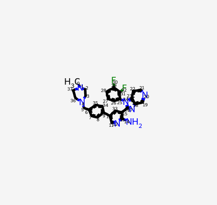 CN1CCN(Cc2ccc(-c3cnc(N)c(-c4nc5cnccc5n4-c4cccc(F)c4F)c3)cc2)CC1